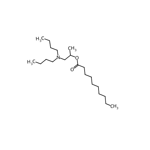 CCCCCCCCCC(=O)OC(C)CN(CCCC)CCCC